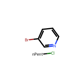 Brc1cccnc1.CCCCCCl